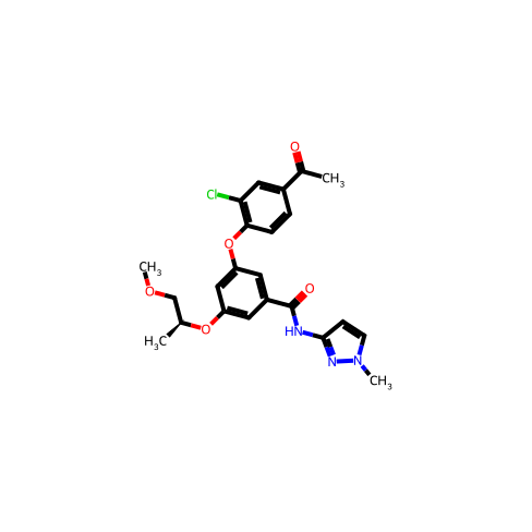 COC[C@H](C)Oc1cc(Oc2ccc(C(C)=O)cc2Cl)cc(C(=O)Nc2ccn(C)n2)c1